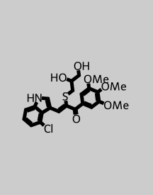 COc1cc(C(=O)C(=Cc2c[nH]c3cccc(Cl)c23)SCC(O)CO)cc(OC)c1OC